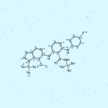 [2H]C([2H])([2H])NC(=O)c1c(Nc2ncc3cnn(C([2H])([2H])[2H])c3c2OC)ccnc1Nc1ccc(F)cn1